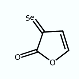 O=C1OC=CC1=[Se]